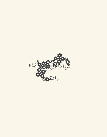 C=Cc1ccc(Oc2ccc(C3(c4ccc(F)cc4)c4ccccc4-c4ccc(C(CCC5C=CC6=C(C5)C5(C7=C6C=CCC7)c6ccccc6-c6ccc(N(c7ccc(F)c(C)c7)c7ccc8c(c7)C(c7ccc(F)cc7)(c7ccc(Oc9ccc(C=C)cc9)cc7)c7ccccc7-8)cc65)c5ccc(F)c(C)c5)cc43)cc2)cc1